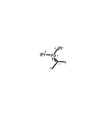 CC(C)=[AsH](C(C)C)C(C)C